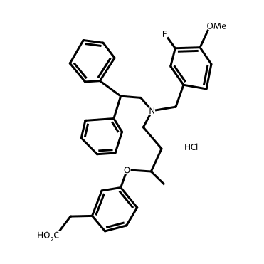 COc1ccc(CN(CCC(C)Oc2cccc(CC(=O)O)c2)CC(c2ccccc2)c2ccccc2)cc1F.Cl